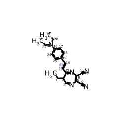 CCC1C=NC(C#N)=C(C#N)N=C1/C=C/c1ccc(N(CC)CC)cc1